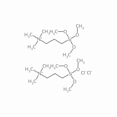 CO[Si](CCC[N+](C)(C)C)(OC)OC.CO[Si](CCC[N+](C)(C)C)(OC)OC.[Cl-].[Cl-]